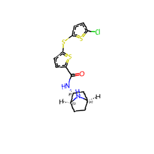 O=C(N[C@@H]1C[C@H]2CC[C@@H]1N2)c1ccc(Sc2ccc(Cl)s2)s1